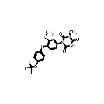 COc1cc(-n2c(=O)[nH]c(=O)n(C)c2=O)ccc1Oc1ccc(SC(F)(F)F)cc1